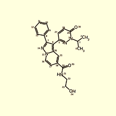 CC(C)n1nc(-c2c(-c3ccccc3)nn3ccc(C(=O)NCCO)cc23)ccc1=O